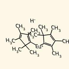 CC1=C(C)C(C)(C)[C]([Eu+][C]2=C(C)C(C)=C(C)C2(C)C)=C1C.[H-]